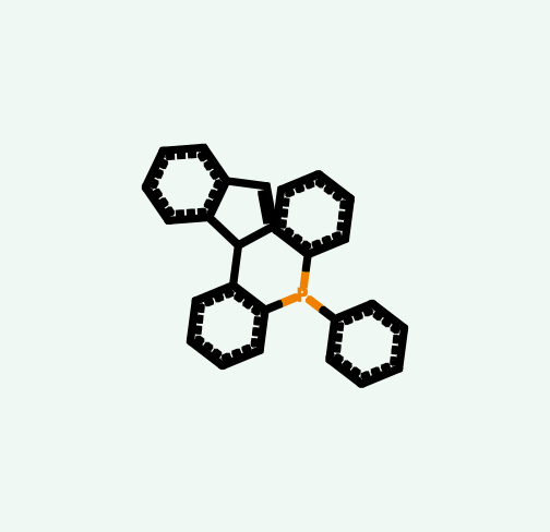 C1=CC(c2ccccc2P(c2ccccc2)c2ccccc2)c2ccccc21